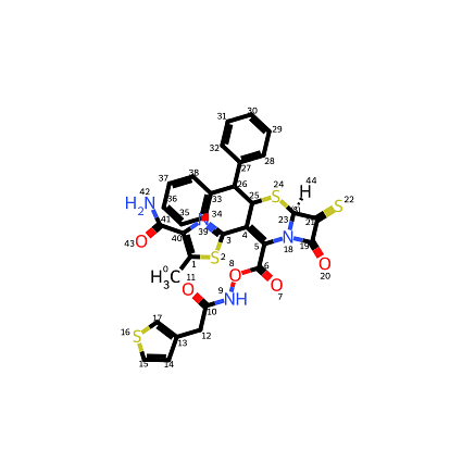 Cc1sc(C2=C(C(=O)ONC(=O)Cc3ccsc3)N3C(=O)C(=S)[C@@H]3SC2C(c2ccccc2)c2ccccc2)nc1C(N)=O